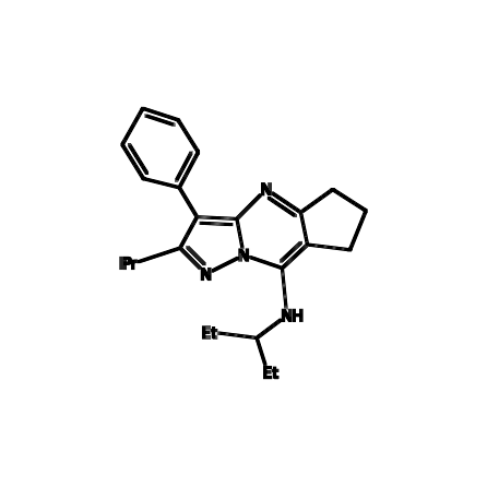 CCC(CC)Nc1c2c(nc3c(-c4ccccc4)c(C(C)C)nn13)CCC2